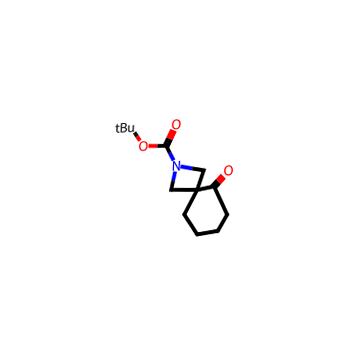 CC(C)(C)OC(=O)N1CC2(CCCCC2=O)C1